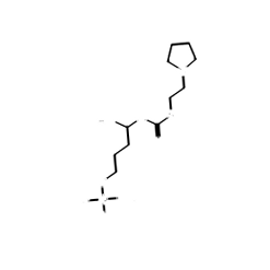 CCCCCC(CCCO[Si](C)(C)C(C)(C)C)OC(=O)NCCN1CCCC1